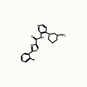 NC1CCCN(c2ccncc2NC(=O)c2csc(-c3ccccc3F)n2)C1